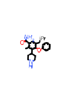 Cc1c(C(N)=O)cc(CC(C)C)c(Oc2ccccc2)c1C1CCNCC1